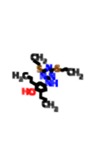 C=CCSc1nc(Nc2cc(CC=C)c(O)c(CC=C)c2)nc(SCC=C)n1